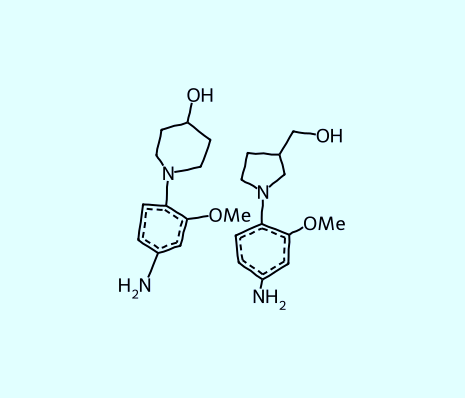 COc1cc(N)ccc1N1CCC(CO)C1.COc1cc(N)ccc1N1CCC(O)CC1